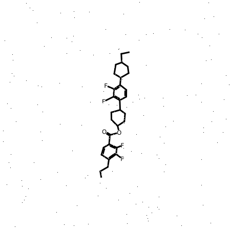 CCCc1ccc(C(=O)OC2CCC(c3ccc(C4CCC(CC)CC4)c(F)c3F)CC2)c(F)c1F